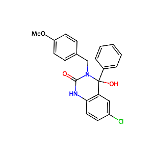 COc1ccc(CN2C(=O)Nc3ccc(Cl)cc3C2(O)c2ccccc2)cc1